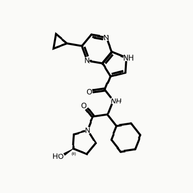 O=C(NC(C(=O)N1CC[C@@H](O)C1)C1CCCCC1)c1c[nH]c2ncc(C3CC3)nc12